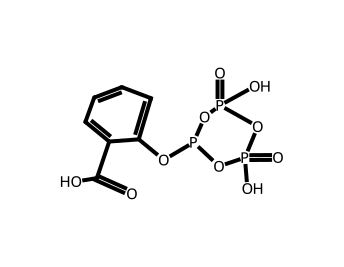 O=C(O)c1ccccc1OP1OP(=O)(O)OP(=O)(O)O1